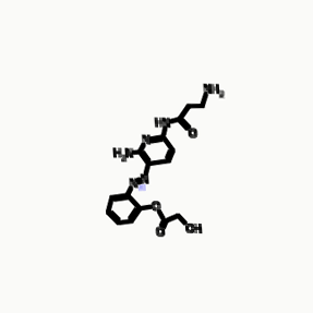 NCCC(=O)Nc1ccc(/N=N/c2ccccc2OC(=O)CO)c(N)n1